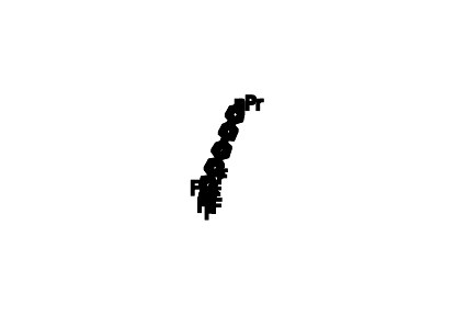 CCCC1CCC(C2CCC(c3ccc(-c4ccc(-c5cc(F)c(OC(F)(F)C(F)F)c(F)c5)c(F)c4)cc3)CC2)CC1